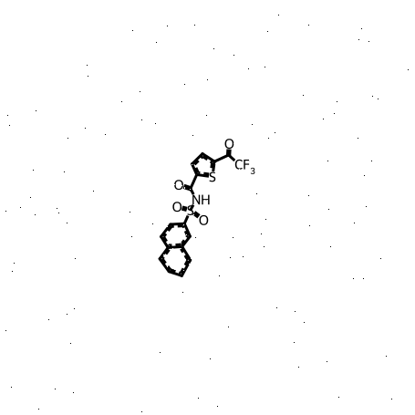 O=C(NS(=O)(=O)c1ccc2ccccc2c1)c1ccc(C(=O)C(F)(F)F)s1